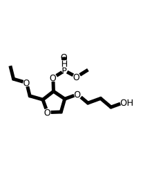 CCOCC1OCC(OCCCO)C1O[PH](=O)OC